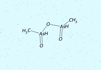 C[AsH](=O)O[AsH](C)=O